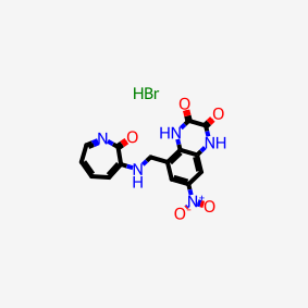 Br.O=c1nccccc1NCc1cc([N+](=O)[O-])cc2[nH]c(=O)c(=O)[nH]c12